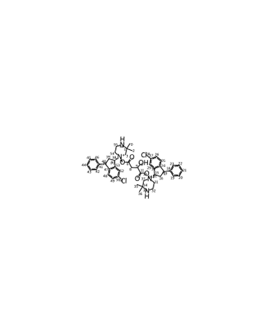 CC1(C)C[N+](OC(=O)CC(O)C(=O)O[N+]2([C@@H]3C[C@H](c4ccccc4)c4ccc(Cl)cc43)CCNC(C)(C)C2)([C@@H]2C[C@H](c3ccccc3)c3ccc(Cl)cc32)CCN1